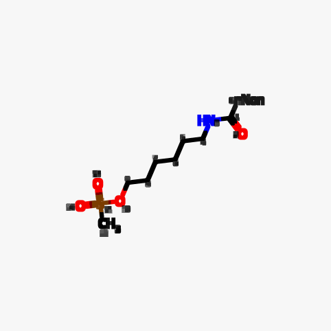 CCCCCCCCCC(=O)NCCCCCCOS(C)(=O)=O